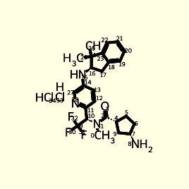 CN(C(=O)[C@@H]1CC[C@H](N)C1)[C@@H](c1ccc(N[C@@H]2Cc3ccccc3C2(C)C)cn1)C(F)(F)F.Cl.Cl